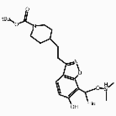 C[SiH](C)OC(c1c(O)ccc2c(CCC3CCN(C(=O)OC(C)(C)C)CC3)noc12)C(C)(C)C